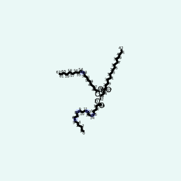 CCCCC/C=C\C/C=C\C/C=C\C/C=C\CCCC(=O)OC[C@@H](COC(=O)CCCCCCCCCCCCCCC)OC(=O)CCCCCCC/C=C\CCCCCCCC